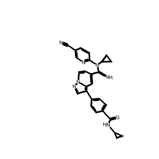 N#Cc1ccc(N(C(=N)c2ccn3ncc(-c4ccc(C(=O)NC5CC5)cc4)c3c2)C2CC2)nc1